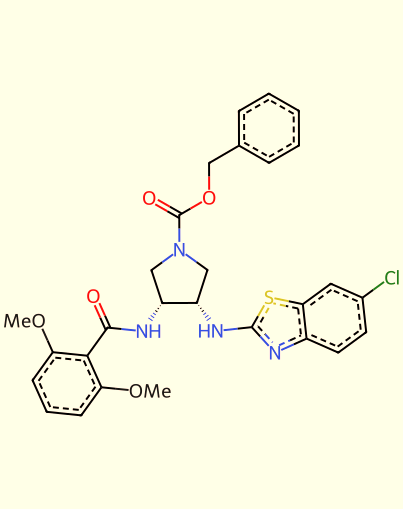 COc1cccc(OC)c1C(=O)N[C@@H]1CN(C(=O)OCc2ccccc2)C[C@@H]1Nc1nc2ccc(Cl)cc2s1